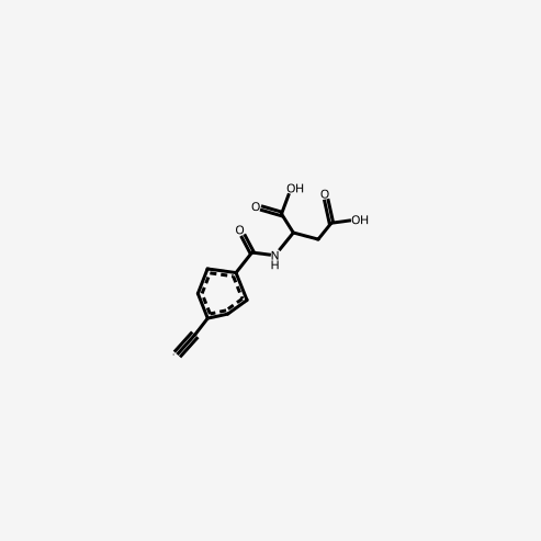 [C]#Cc1ccc(C(=O)NC(CC(=O)O)C(=O)O)cc1